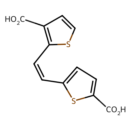 O=C(O)c1ccc(/C=C\c2sccc2C(=O)O)s1